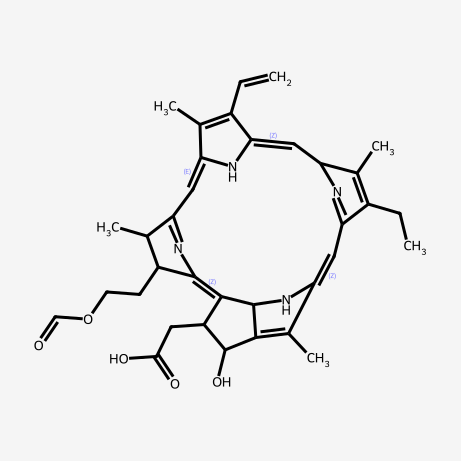 C=Cc1c(C)/c2[nH]/c1=C\C1N=C(/C=C3\NC4C(=C3C)C(O)C(CC(=O)O)/C4=C3N=C(/C=2)C(C)C/3CCOC=O)C(CC)=C1C